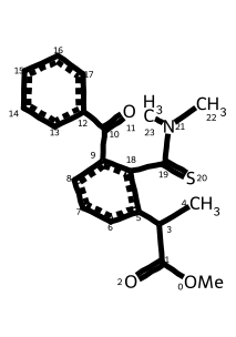 COC(=O)C(C)c1cccc(C(=O)c2ccccc2)c1C(=S)N(C)C